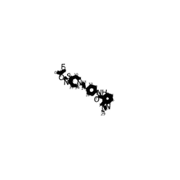 CC(CF)Oc1nc2c(s1)CCN(CC[C@H]1CC[C@H](NC(=O)c3cccc4nn(C)cc34)CC1)CC2